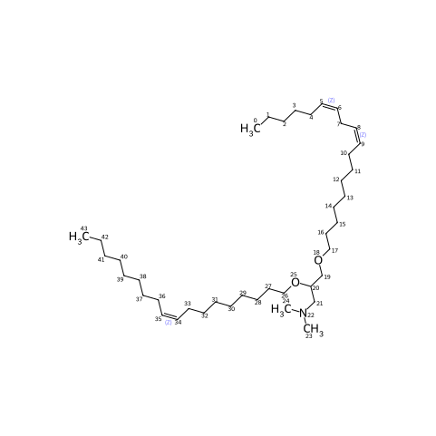 CCCCC/C=C\C/C=C\CCCCCCCCOCC(CN(C)C)OCCCCCCCC/C=C\CCCCCCCC